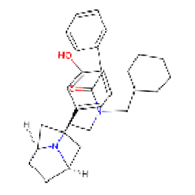 O=C(Cc1ccccc1)N(CCN1[C@@H]2CC[C@H]1C[C@@H](c1cccc(O)c1)C2)CC1CCCCC1